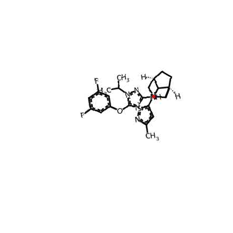 Cc1cc(N2C[C@H]3CC[C@@H](C2)C3Nc2nc(Oc3cc(F)cc(F)c3)n(C(C)C)n2)sn1